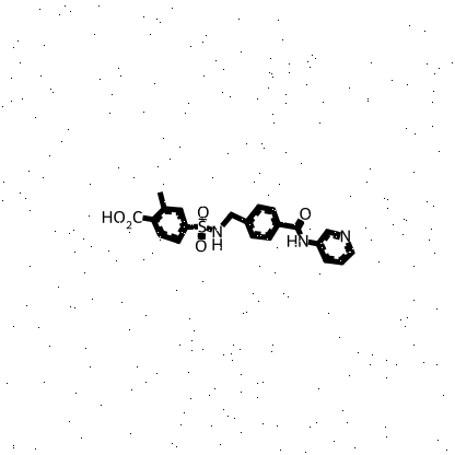 Cc1cc(S(=O)(=O)NCc2ccc(C(=O)Nc3cccnc3)cc2)ccc1C(=O)O